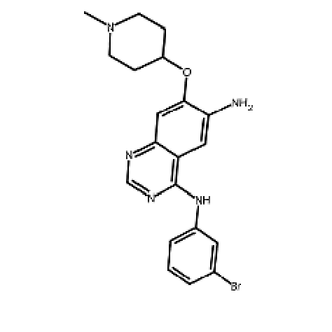 CN1CCC(Oc2cc3ncnc(Nc4cccc(Br)c4)c3cc2N)CC1